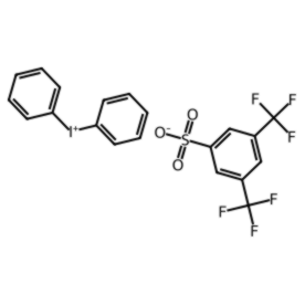 O=S(=O)([O-])c1cc(C(F)(F)F)cc(C(F)(F)F)c1.c1ccc([I+]c2ccccc2)cc1